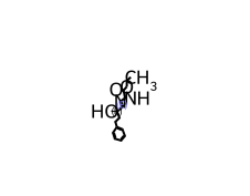 CCOC(=O)C(=N)/N=C/[C@H](O)CCc1ccccc1